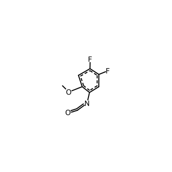 COc1cc(F)c(F)cc1N=C=O